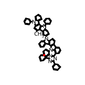 Cc1cc2c(c3ccccc3n2-c2ccccc2)c2c1c1cc(-n3c4ccccc4c4c3ccc3c5cccc(-c6nc(-c7ccccc7)nc(-c7ccccc7)n6)c5n(-c5ccccc5)c34)ccc1n2-c1ccccc1